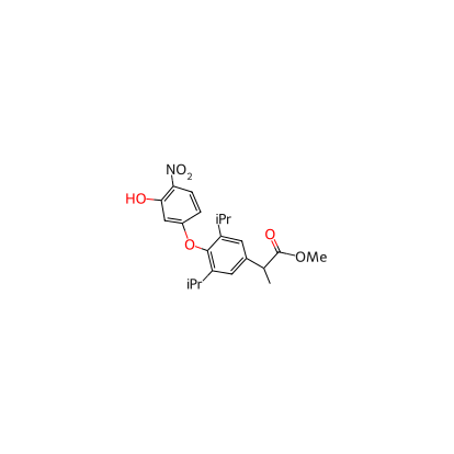 COC(=O)C(C)c1cc(C(C)C)c(Oc2ccc([N+](=O)[O-])c(O)c2)c(C(C)C)c1